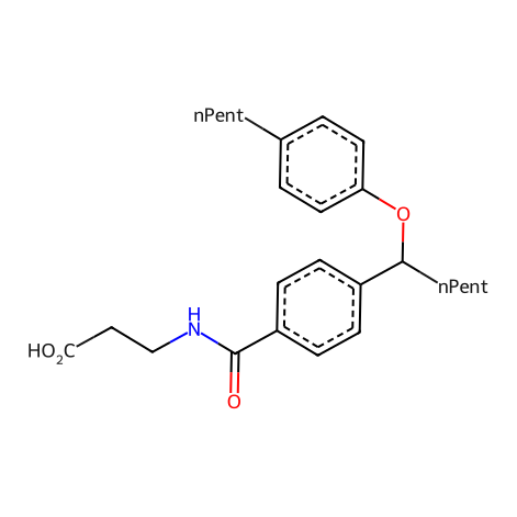 CCCCCc1ccc(OC(CCCCC)c2ccc(C(=O)NCCC(=O)O)cc2)cc1